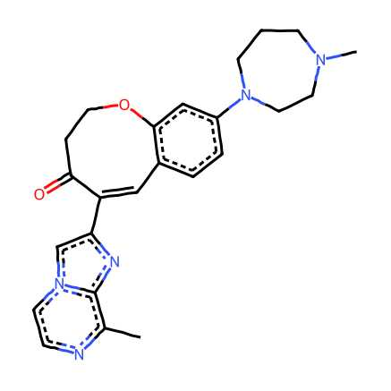 Cc1nccn2cc(/C3=C/c4ccc(N5CCCN(C)CC5)cc4OCCC3=O)nc12